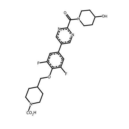 O=C(O)N1CCC(COc2c(F)cc(-c3cnc(C(=O)N4CCC(O)CC4)nc3)cc2F)CC1